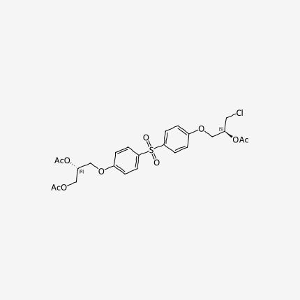 CC(=O)OC[C@@H](COc1ccc(S(=O)(=O)c2ccc(OC[C@@H](CCl)OC(C)=O)cc2)cc1)OC(C)=O